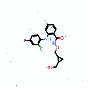 O=C(NOCC1CC1CO)c1ccc(F)cc1Nc1ccc(I)cc1Cl